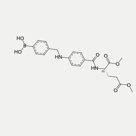 COC(=O)CC[C@H](NC(=O)c1ccc(NCc2ccc(B(O)O)cc2)cc1)C(=O)OC